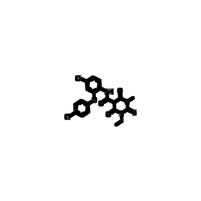 CCN1C(=O)C(C(=O)Nc2ccc(Cl)cc2Oc2ccc(Cl)cc2)C(=O)N(C)C1=S